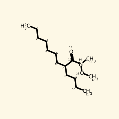 CCCCCCCC(CCCC)C(=O)N(C)OC